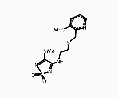 CNC1=NS(=O)(=O)N=C1NCCSCc1ncccc1OC